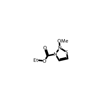 CCOC(=O)N1C=CSN1OC